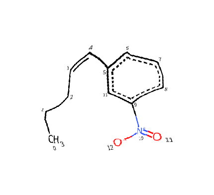 CCC/C=C\c1cccc([N+](=O)[O-])c1